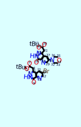 CC(C)(C)OC(=O)Cc1n[nH]c(=O)c2ncc(Br)cc12.CC(C)(C)OC(=O)Cc1n[nH]c(=O)c2ncc(N3CCOCC3)cc12